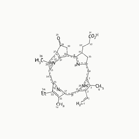 C=Cc1c(C)c2cc3nc(c4c5[nH]c(cc6nc(cc1[nH]2)C(C)=C6CC)c(C)c5C(=O)C4)C(CCC(=O)O)C3